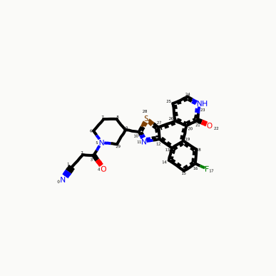 N#CCC(=O)N1CCCC(c2nc3c4ccc(F)cc4c4c(=O)[nH]ccc4c3s2)C1